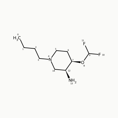 CCCCN1CC[C@@H](OC(F)F)[C@@H](N)C1